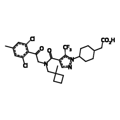 Cc1cc(Cl)c(C(=O)CN(CC2(C)CCC2)C(=O)c2cnn(C3CCC(CC(=O)O)CC3)c2C(F)(F)F)c(Cl)c1